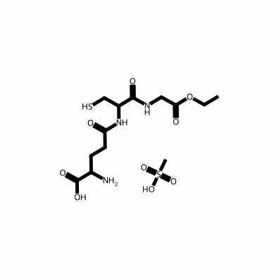 CCOC(=O)CNC(=O)C(CS)NC(=O)CCC(N)C(=O)O.CS(=O)(=O)O